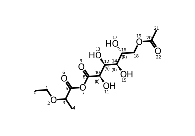 CCOC(C)C(=O)OC(=O)[C@H](O)[C@@H](O)[C@H](O)[C@H](O)COC(C)=O